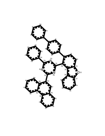 c1ccc(-c2ccc(-c3ccc4oc5ccccc5c4c3-c3nc(-c4ccccc4)nc(-c4cc5ccccc5c5ccccc45)n3)cc2)cc1